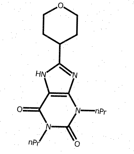 CCCn1c(=O)c2[nH]c(C3CCOCC3)nc2n(CCC)c1=O